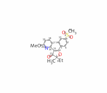 CCC1(C)OC(c2ccc(S(C)(=O)=O)cc2)=C(c2cccc(OC)n2)C1=O